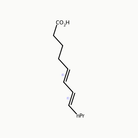 CCC/C=C/C=C/CCCC(=O)O